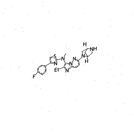 CCc1nc2ccc(N3C[C@@H]4C[C@@H]3CN4)nn2c1N(C)c1nc(-c2ccc(F)cc2)cs1